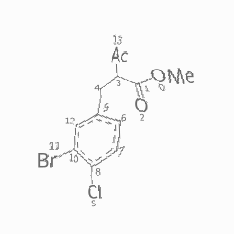 COC(=O)C(Cc1ccc(Cl)c(Br)c1)C(C)=O